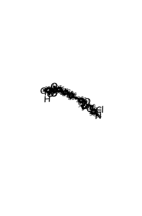 CC(CC1CCC(C)N1C(=O)c1ccc(C#CC2CCN(C3CCN(c4ccc5c(c4)C(=O)N(C4CCC(=O)NC4=O)C5=O)CC3)CC2)cc1)Oc1ccc(C#N)c(Cl)c1